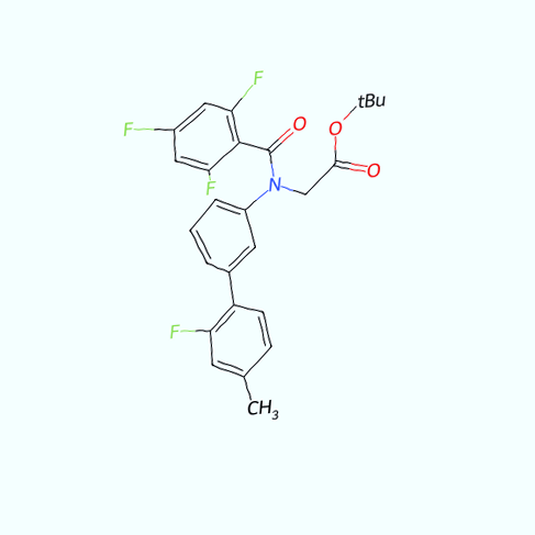 Cc1ccc(-c2cccc(N(CC(=O)OC(C)(C)C)C(=O)c3c(F)cc(F)cc3F)c2)c(F)c1